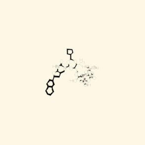 C[C@H]1OC(C2CCCC2)OC(N2C=C3C=C(c4ccc5ccccc5c4)OC3NC2=O)O[C@@H]1COP(=O)(O)OP(=O)(O)OP(=O)(O)OP(=O)(O)C(C)(C)C